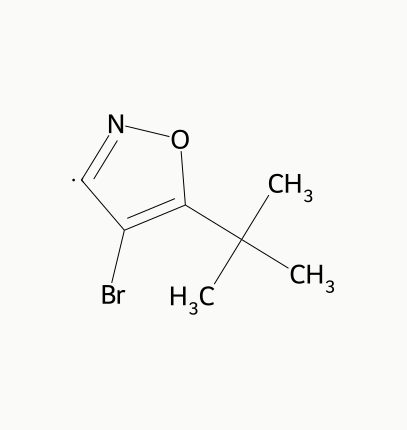 CC(C)(C)c1on[c]c1Br